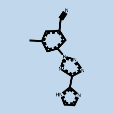 Cc1cc(C#N)cc(-n2nnc(-c3ncc[nH]3)n2)c1